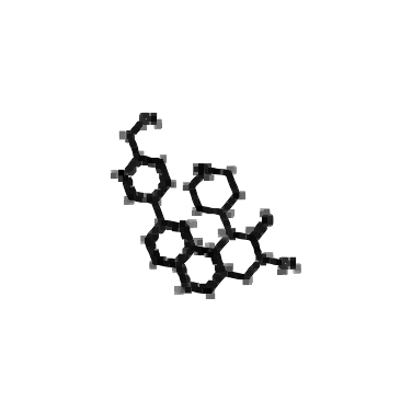 CSc1ccc(-c2ccc3ncc4c(c3n2)N(C2CCNCC2)C(=O)N(C)C4)cn1